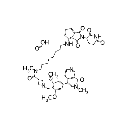 COc1cc(-c2cn(C)c(=O)c3cnccc23)cc(OC)c1CN1CC(C(=O)N(C)CCCCCCCCNc2cccc3c2C(=O)N(C2CCC(=O)NC2=O)C3=O)C1.O=CO